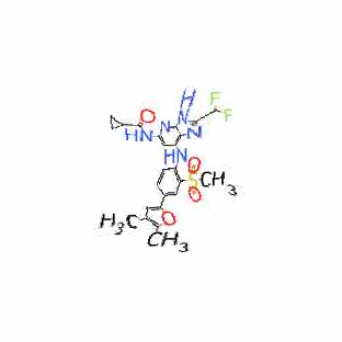 Cc1cc(-c2ccc(Nc3cc(NC(=O)C4CC4)nc4[nH]c(C(F)F)nc34)c(S(C)(=O)=O)c2)oc1C